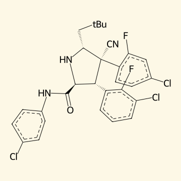 CC(C)(C)C[C@H]1N[C@H](C(=O)Nc2ccc(Cl)cc2)[C@@H](c2cccc(Cl)c2F)[C@]1(C#N)c1ccc(Cl)cc1F